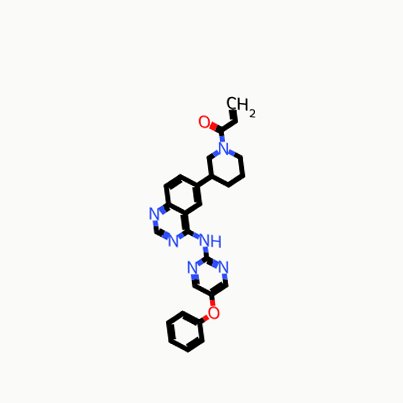 C=CC(=O)N1CCCC(c2ccc3ncnc(Nc4ncc(Oc5ccccc5)cn4)c3c2)C1